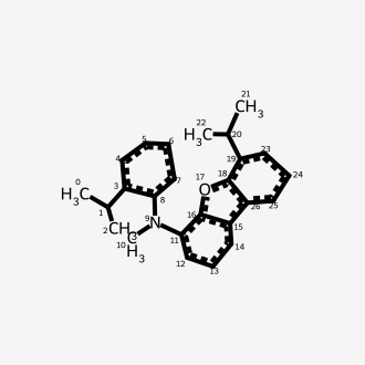 CC(C)c1ccccc1N(C)c1cccc2c1oc1c(C(C)C)cccc12